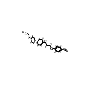 CCC[C@H]1CC[C@H](C2CCC(CCCOc3ccc(C#N)cc3)CC2)CC1